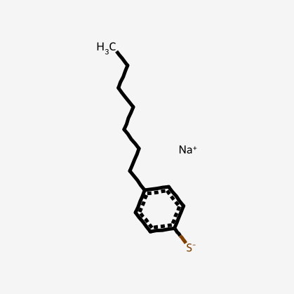 CCCCCCCc1ccc([S-])cc1.[Na+]